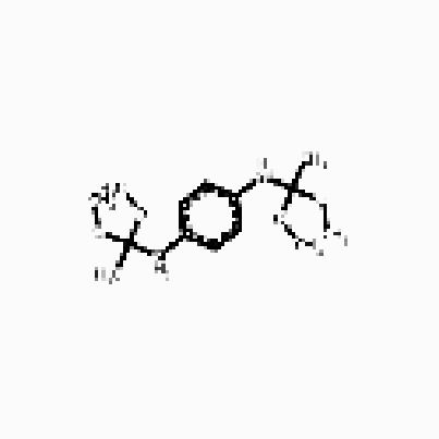 COC(C)(OC)[SiH2]c1ccc([SiH2]C(C)(OC)OC)cc1